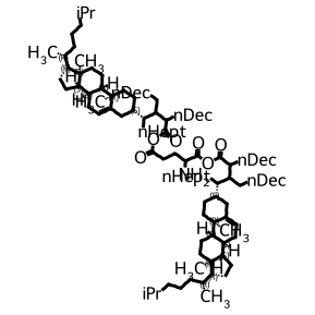 CCCCCCCCCCCC(C(CCCCCCCCCC)C(=O)OC(=O)CCC(N)C(=O)OC(=O)C(CCCCCCCCCC)C(CCCCCCCCCCC)C(CCCCCCC)[C@H]1CC[C@@]2(C)C(=CC[C@H]3[C@@H]4CC[C@H]([C@H](C)CCCC(C)C)[C@@]4(C)CC[C@@H]32)C1)C(CCCCCCC)[C@H]1CC[C@@]2(C)C(=CC[C@H]3[C@@H]4CC[C@H]([C@H](C)CCCC(C)C)[C@@]4(C)CC[C@@H]32)C1